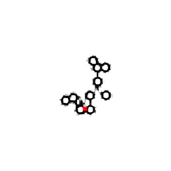 c1ccc(-c2cc(N(c3ccccc3)c3ccc(-c4cc5ccccc5c5ccccc45)cc3)ccc2-n2c3ccccc3c3c4ccccc4ccc32)cc1